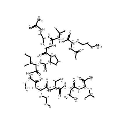 CC[C@H](C)[C@H](NC(=O)[C@H]1CCCN1C(=O)[C@H](CCCNC(=N)N)NC(=O)[C@@H](NC(=O)[C@H](CCCCN)NC(C)=O)C(C)C)C(=O)N[C@@H](CO)C(=O)N[C@@H](CCSC)C(=O)N[C@@H](CO)C(=O)N[C@H](C(=O)N[C@@H](CC(C)C)C(=O)O)[C@@H](C)O